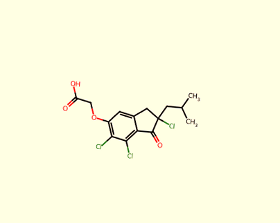 CC(C)CC1(Cl)Cc2cc(OCC(=O)O)c(Cl)c(Cl)c2C1=O